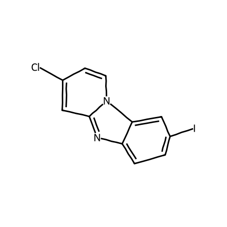 Clc1ccn2c(c1)nc1ccc(I)cc12